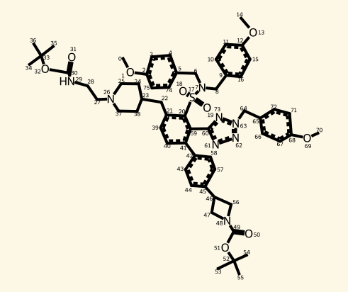 COc1ccc(CN(Cc2ccc(OC)cc2)S(=O)(=O)c2c(CC3CCN(CCNC(=O)OC(C)(C)C)CC3)ccc(-c3ccc(C4CN(C(=O)OC(C)(C)C)C4)cc3)c2-c2nnn(Cc3ccc(OC)cc3)n2)cc1